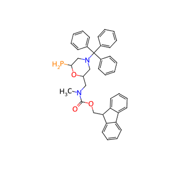 CN(CC1CN(C(c2ccccc2)(c2ccccc2)c2ccccc2)CC(P)O1)C(=O)OCC1c2ccccc2-c2ccccc21